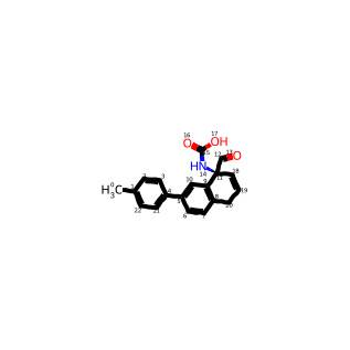 Cc1ccc(-c2ccc3c(c2)[C@@](C=O)(NC(=O)O)C=CC3)cc1